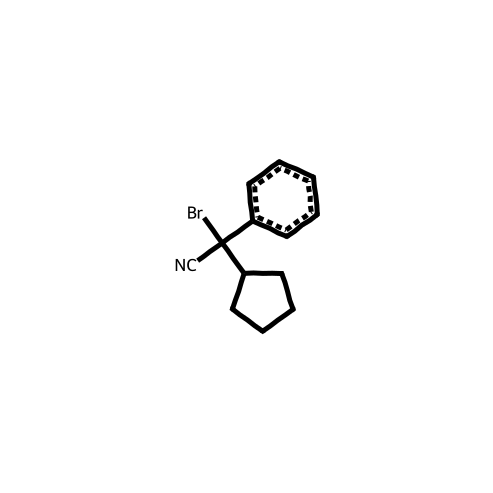 N#CC(Br)(c1ccccc1)C1CCCC1